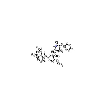 COc1ncc(-c2cc(C(F)(F)F)c3c(N)ncnn23)cc1C(=O)NC(=N)/C=C(/Cl)NCc1ccccc1